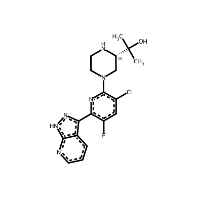 CC(C)(O)[C@@H]1CN(c2nc(-c3n[nH]c4ncccc34)c(F)cc2Cl)CCN1